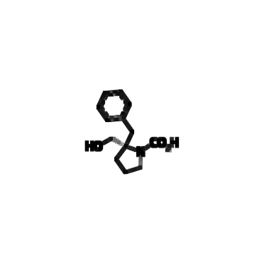 O=C(O)N1CCC[C@@]1(CO)Cc1ccccc1